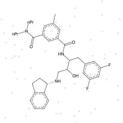 CCCN(CCC)C(=O)c1cc(C)cc(C(=O)NC(Cc2cc(F)cc(F)c2)C(O)CN[C@H]2CCc3ccccc32)c1